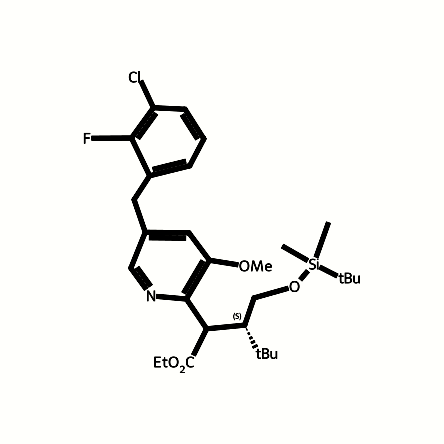 CCOC(=O)C(c1ncc(Cc2cccc(Cl)c2F)cc1OC)[C@H](CO[Si](C)(C)C(C)(C)C)C(C)(C)C